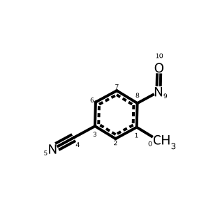 Cc1cc(C#N)ccc1N=O